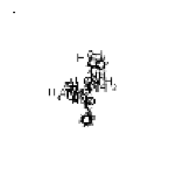 C#C/C=C(/CNC(=O)[C@H](C)NC(=O)C[C@@H](CC(=O)NC(C)(C)C)NC(=O)CCc1ccccc1)c1ccccc1C